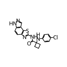 O=C(Nc1nc2ccc3[nH]ncc3c2s1)C1(Nc2ccc(Cl)cc2)CCC1